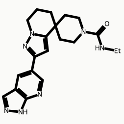 CCNC(=O)N1CCC2(CCCn3nc(-c4cnc5[nH]ncc5c4)cc32)CC1